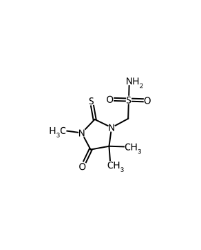 CN1C(=O)C(C)(C)N(CS(N)(=O)=O)C1=S